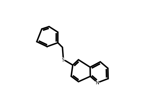 [c]1ccccc1CSc1ccc2ncccc2c1